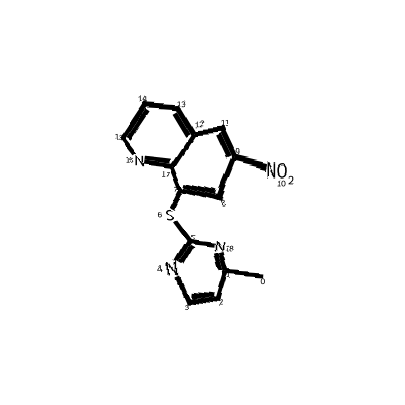 Cc1ccnc(Sc2cc([N+](=O)[O-])cc3cccnc23)n1